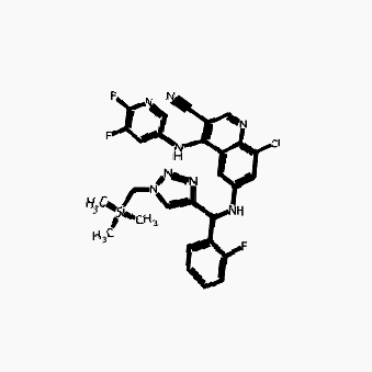 C[Si](C)(C)Cn1cc(C(Nc2cc(Cl)c3ncc(C#N)c(Nc4cnc(F)c(F)c4)c3c2)c2ccccc2F)nn1